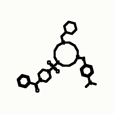 CN(C)c1ccc(SN2CCCN(CC3CCCCC3)CCCN(S(=O)(=O)N3CCN(C(=O)c4ccccc4)CC3)CCC2)cc1